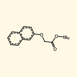 CC(C)(C)OC(=O)COc1ccc2ccccc2c1